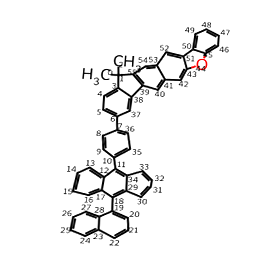 CC1(C)c2ccc(-c3ccc(-c4c5ccccc5c(-c5cccc6ccccc56)c5ccccc45)cc3)cc2-c2cc3cc4oc5ccccc5c4cc3cc21